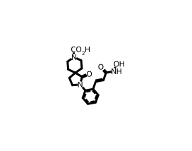 O=C(/C=C/c1ccccc1N1CCC2(CCN(C(=O)O)CC2)C1=O)NO